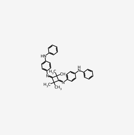 CC1(C)C(=Nc2ccc(Nc3ccccc3)cc2)C(C)(C)C1=Nc1ccc(Nc2ccccc2)cc1